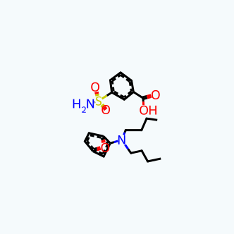 CCCCN(CCCC)c1cc2ccc1o2.NS(=O)(=O)c1cccc(C(=O)O)c1